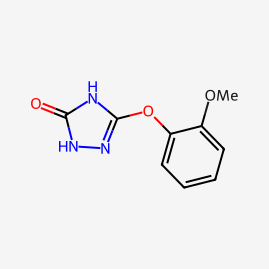 COc1ccccc1Oc1n[nH]c(=O)[nH]1